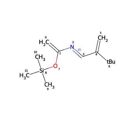 C=C(/N=C/C(=C)C(C)(C)C)O[Si](C)(C)C